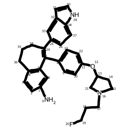 Nc1ccc2c(c1)C(c1ccc(OC3CCN(CCCF)C3)cc1)=C(c1ccc3[nH]ccc3c1)CCC2